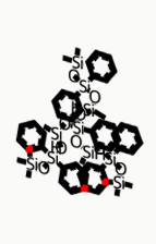 C[SiH](O[Si](O[SiH](C)O[Si](O[Si](C)(C)C)(c1ccccc1)c1ccccc1)(O[SiH](C)O[Si](O[Si](C)(C)C)(c1ccccc1)c1ccccc1)c1ccccc1)O[Si](O[Si](C)(C)C)(c1ccccc1)c1ccccc1